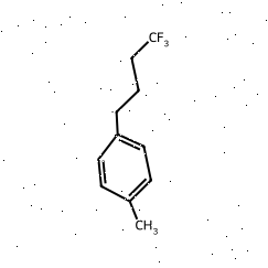 Cc1ccc([CH]CCC(F)(F)F)cc1